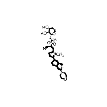 Cn1c(/C=C(\C#N)S(=O)(=O)NC[C@H]2OSC[C@@H](O)[C@@H]2O)ccc1-c1ccc2cc(N3CCOCC3)ccc2c1